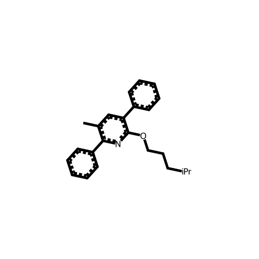 Cc1cc(-c2ccccc2)c(OCCCC(C)C)nc1-c1ccccc1